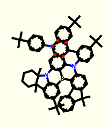 CC(C)(C)c1ccc(N(c2ccc(C(C)(C)C)cc2)c2cc3c4c(c2)N2c5c(cc(C(C)(C)C)cc5C5(C)CCCCC25C)B4c2c(ccc4c2-c2ccccc2C4(C)C)N3c2ccc(C(C)(C)C)cc2-c2ccccc2)cc1